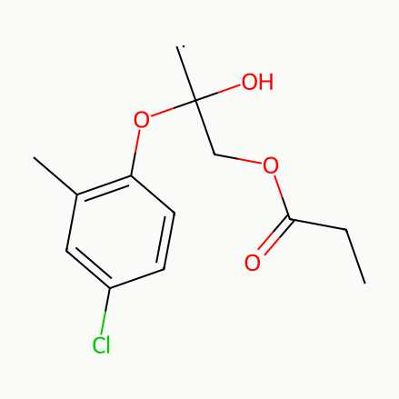 [CH2]C(O)(COC(=O)CC)Oc1ccc(Cl)cc1C